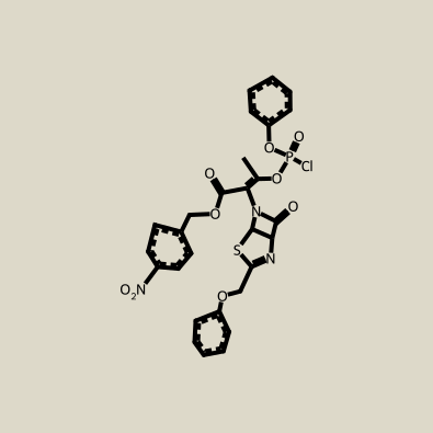 CC(OP(=O)(Cl)Oc1ccccc1)=C(C(=O)OCc1ccc([N+](=O)[O-])cc1)N1C(=O)C2N=C(COc3ccccc3)SC21